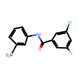 O=C(Nc1cccc([N+](=O)[O-])c1)c1cc(F)cc(Cl)c1